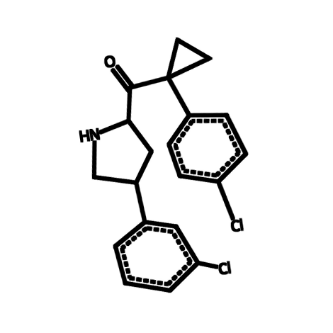 O=C(C1CC(c2cccc(Cl)c2)CN1)C1(c2ccc(Cl)cc2)CC1